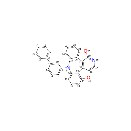 c1ccc(-c2cccc(-n3c4cccc5oc6cnc7oc8cccc3c8c7c6c54)c2)cc1